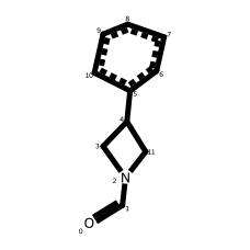 O=CN1CC(c2ccccc2)C1